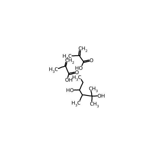 C=C(C)C(=O)O.C=C(C)C(=O)O.CCC(O)C(C)C(C)(C)O